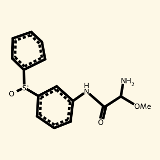 COC(N)C(=O)Nc1cccc([S+]([O-])c2ccccc2)c1